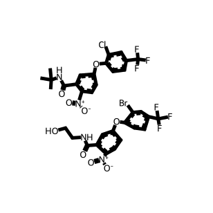 CC(C)(C)NC(=O)c1cc(Oc2ccc(C(F)(F)F)cc2Cl)ccc1[N+](=O)[O-].O=C(NCCO)c1cc(Oc2ccc(C(F)(F)F)cc2Br)ccc1[N+](=O)[O-]